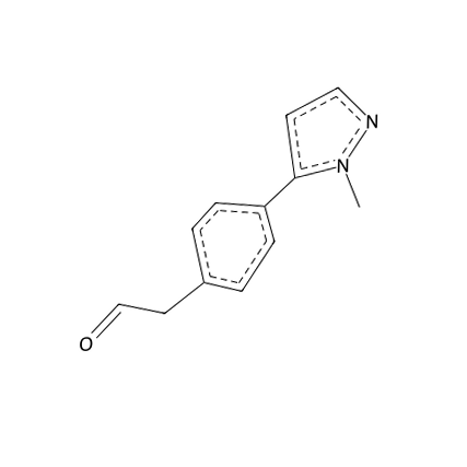 Cn1nccc1-c1ccc(CC=O)cc1